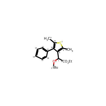 CCOC(=O)C(OC(C)(C)C)c1c(C)sc(C)c1-c1ccccc1